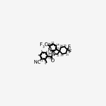 Cc1c(C#N)cccc1C(=O)NCC1(c2ccc(C(F)(F)F)nc2)CCC(F)(F)CC1